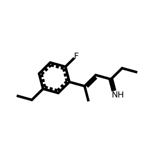 CCC(=N)/C=C(\C)c1cc(CC)ccc1F